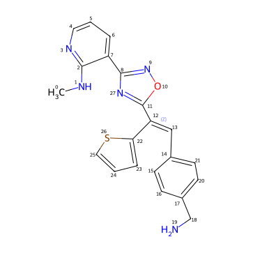 CNc1ncccc1-c1noc(/C(=C/c2ccc(CN)cc2)c2cccs2)n1